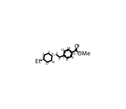 CC[C@H]1CC[C@H](CCc2ccc(C(=O)OC)cc2)CC1